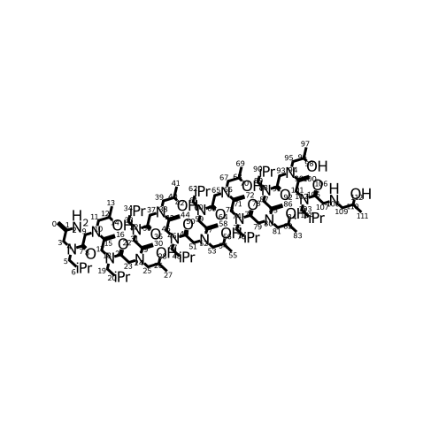 C=C(N)CN(CC(C)C)C(=O)CN(CC(C)O)C(=C)CN(CC(C)C)C(=O)CN(CC(C)O)C(=C)CN(CC(C)C)C(=O)CN(CC(C)O)C(=C)CN(CC(C)C)C(=O)CN(CC(C)O)C(=C)CN(CC(C)C)C(=O)CN(CC(C)O)C(=C)CN(CC(C)C)C(=O)CN(CC(C)O)C(=C)CN(CC(C)C)C(=O)CN(CC(C)O)C(=C)CN(CC(C)C)C(=O)CNCC(C)O